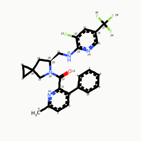 Cc1ccc(-c2ccccc2)c(C(=O)N2CC3(CC3)C[C@H]2CNc2ncc(C(F)(F)F)cc2F)n1